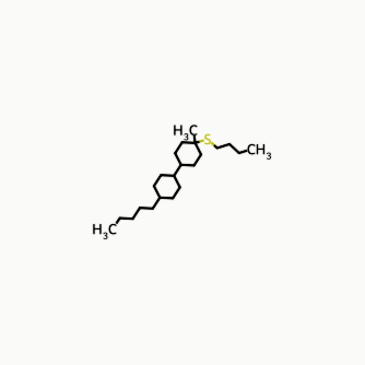 CCCCCC1CCC(C2CCC(C)(SCCCC)CC2)CC1